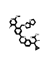 COc1cc(-c2ccc(C3CCc4ccc(C(C5CC5)[C@H](C)C(=O)O)cc4O3)cc2CN2CCC3(CCCO3)C2)c(F)cn1